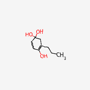 CCCC1=C(O)C=CC(O)(O)C1